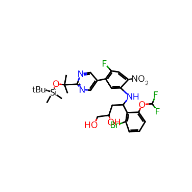 CC(C)(O[Si](C)(C)C(C)(C)C)c1ncc(-c2cc(NC(CC(O)CO)c3c(Br)cccc3OC(F)F)c([N+](=O)[O-])cc2F)cn1